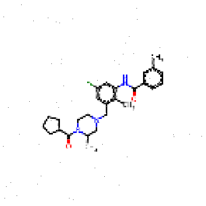 Cc1cccc(C(=O)Nc2cc(F)cc(CN3CCN(C(=O)C4CCCC4)C(C)C3)c2C)c1